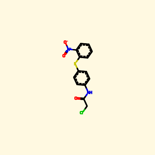 O=C(CCl)Nc1ccc(Sc2ccccc2[N+](=O)[O-])cc1